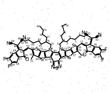 CCCCCCC(CCCC)Cn1c2c3sc(/C=C4\C(=O)c5cc(F)c(F)cc5C4=C(C#N)C#N)c(C)c3sc2c2c3nsnc3c3c4sc5c(C)c(/C=C6\C(=O)c7cc(F)c(F)cc7C6=C(C#N)C#N)sc5c4n(CC(CCCC)CCCCCC)c3c21